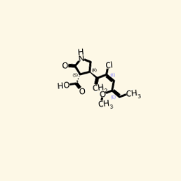 C=C(/C(Cl)=C\C(=C/C)OC)[C@@H]1CNC(=O)[C@H]1C(=O)O